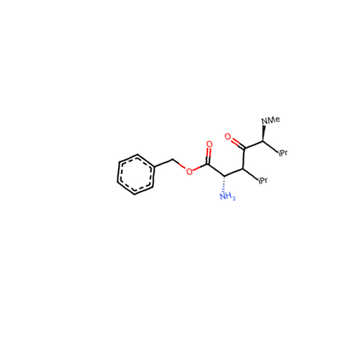 CN[C@H](C(=O)C(C(C)C)[C@H](N)C(=O)OCc1ccccc1)C(C)C